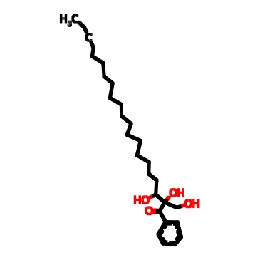 CCCCCCCCCCCCCCCCCCC(O)C(O)(CO)C(=O)c1ccccc1